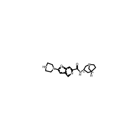 O=C(N[C@@H]1C[C@H]2CCN(C2)C1)c1cc2oc(N3CCNCC3)cc2cn1